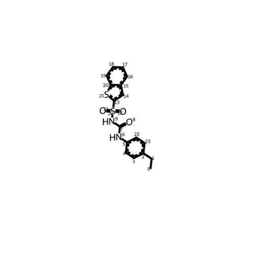 CCc1ccc(NC(=O)NS(=O)(=O)c2cc3ccccc3s2)cc1